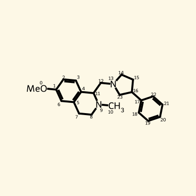 COc1ccc2c(c1)CCN(C)C2CN1CCC(c2ccccc2)C1